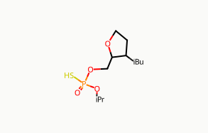 CCC(C)C1CCOC1COP(=O)(S)OC(C)C